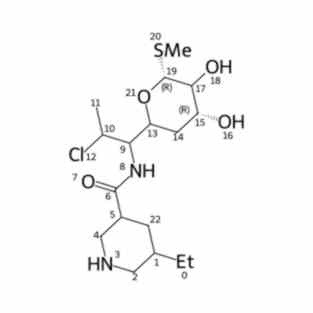 CCC1CNCC(C(=O)NC(C(C)Cl)C2C[C@@H](O)C(O)[C@@H](SC)O2)C1